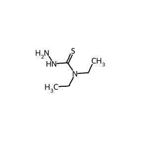 CCN(CC)C(=S)NN